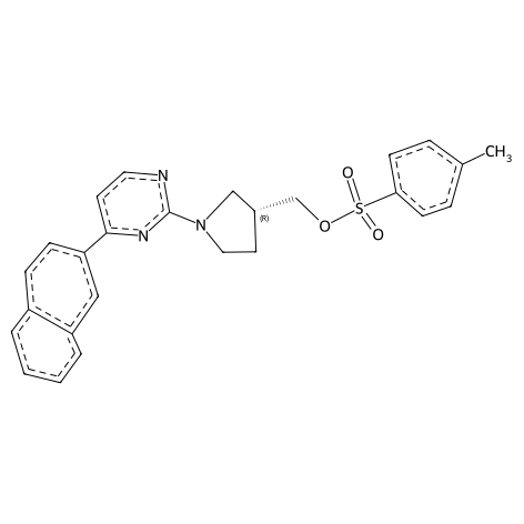 Cc1ccc(S(=O)(=O)OC[C@@H]2CCN(c3nccc(-c4ccc5ccccc5c4)n3)C2)cc1